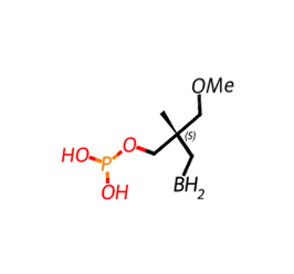 BC[C@@](C)(COC)COP(O)O